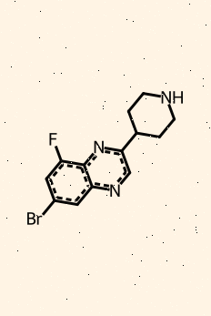 Fc1cc(Br)cc2ncc(C3CCNCC3)nc12